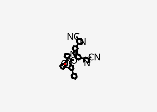 N#Cc1cncc(-c2ccc3c(c2)c2cc(-c4cncc(C#N)c4)ccc2n3-c2cccc3c2C(=O)N(c2ccc(-c4ccccc4)cc2-c2ccccc2)C3=O)c1